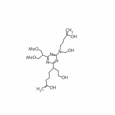 C=C(O)CCCC(CCO)c1nc(C(COC)COC)nc(N(CO)CCCC(=C)O)n1